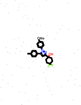 COc1ccc(-n2nc(C3(O)CCC(F)(F)CC3)cc2-c2ccc(C)cc2)cc1